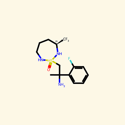 CC(N)(C[SH]1(=O)NCCC[C@@H](C(F)(F)F)N1)c1ccccc1F